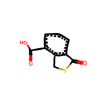 O=C(O)c1cccc2c1CSC2=O